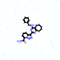 NC(=O)c1cccc2c(-c3nc4c(c(NCc5ccccc5)n3)CCCCC4)nnn12